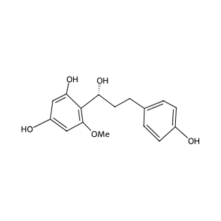 COc1cc(O)cc(O)c1[C@H](O)CCc1ccc(O)cc1